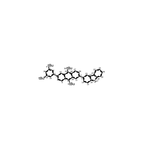 CC(C)(C)c1cc(-c2ccc3c(C(C)(C)C)c4cc(-c5ccc6sc7ccccc7c6c5)ccc4c(C(C)(C)C)c3c2)cc(C(C)(C)C)c1